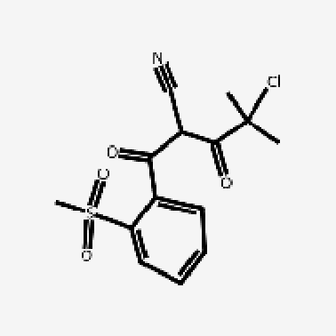 CC(C)(Cl)C(=O)C(C#N)C(=O)c1ccccc1S(C)(=O)=O